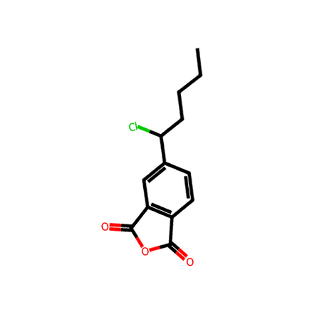 CCCCC(Cl)c1ccc2c(c1)C(=O)OC2=O